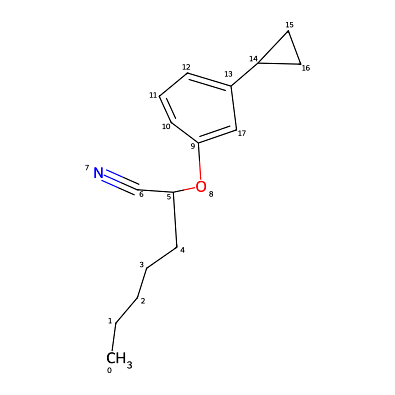 CCCCCC(C#N)Oc1cccc(C2CC2)c1